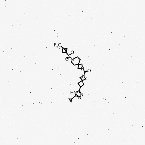 O=C(N1CC2(CCN(S(=O)(=O)C34CC(C(F)(F)F)(C3)C4)CC2)C1)N1CC2(CC(c3nnc(C4CC4)[nH]3)C2)C1